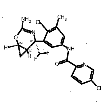 Cc1cc(NC(=O)c2ccc(Cl)cn2)cc([C@]2(C(F)F)N=C(N)O[C@H]3C[C@H]32)c1Cl